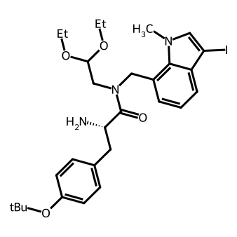 CCOC(CN(Cc1cccc2c(I)cn(C)c12)C(=O)[C@@H](N)Cc1ccc(OC(C)(C)C)cc1)OCC